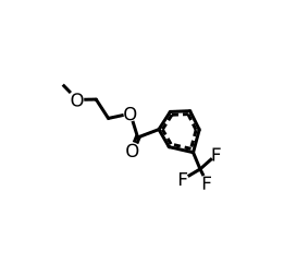 COCCOC(=O)c1cccc(C(F)(F)F)c1